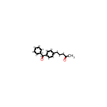 CC(=O)CCCc1ccc(C(=O)c2ccccc2)cc1